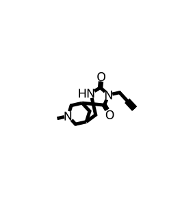 C#CCN1C(=O)NC2(CC3CC2CN(C)C3)C1=O